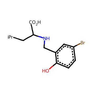 CC(C)CC(NCc1cc(Br)ccc1O)C(=O)O